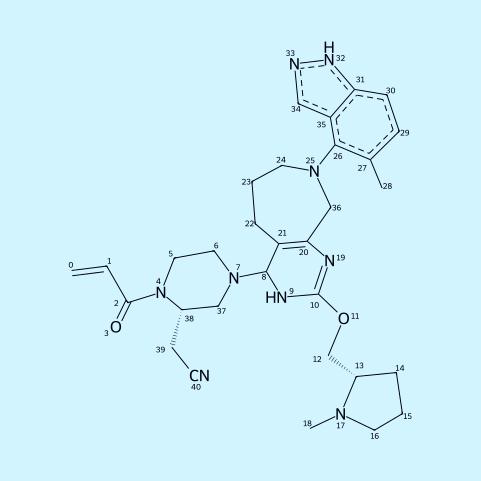 C=CC(=O)N1CCN(C2NC(OC[C@@H]3CCCN3C)=NC3=C2CCCN(c2c(C)ccc4[nH]ncc24)C3)C[C@@H]1CC#N